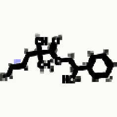 CC(C)/C=C/CC(C)(C)C(=O)OCC(O)c1ccccc1